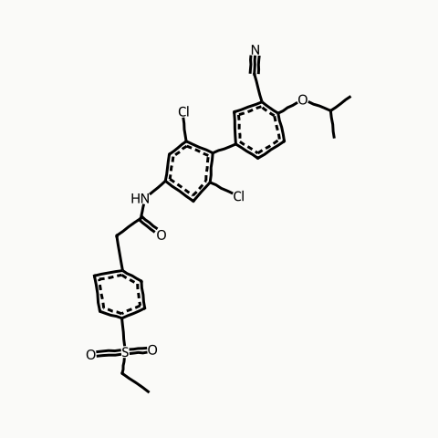 CCS(=O)(=O)c1ccc(CC(=O)Nc2cc(Cl)c(-c3ccc(OC(C)C)c(C#N)c3)c(Cl)c2)cc1